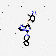 Cc1c(N)cccc1Sc1cnc(N2CCC3(CCCC3)CC2)n2ccnc12